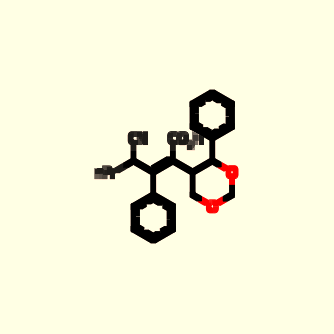 CCCC(C#N)C(=C(C(=O)O)C1COCOC1c1ccccc1)c1ccccc1